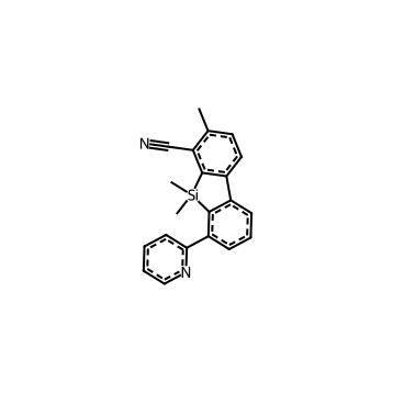 Cc1ccc2c(c1C#N)[Si](C)(C)c1c(-c3ccccn3)cccc1-2